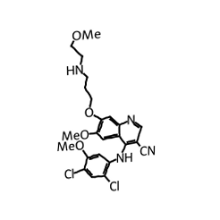 COCCNCCCOc1cc2ncc(C#N)c(Nc3cc(OC)c(Cl)cc3Cl)c2cc1OC